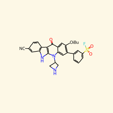 CC(C)COc1cc2c(=O)c3c4ccc(C#N)cc4[nH]c3n(C3CNC3)c2cc1-c1cccc(S(=O)(=O)F)c1